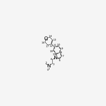 CN(C)CCn1ccc2ccc(C3=CCOCC3)cc21